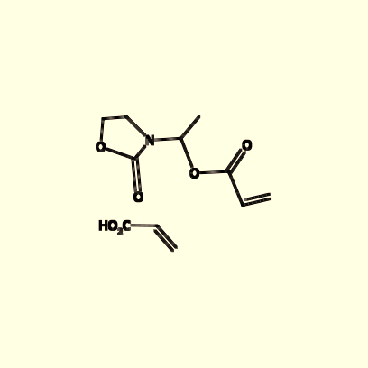 C=CC(=O)O.C=CC(=O)OC(C)N1CCOC1=O